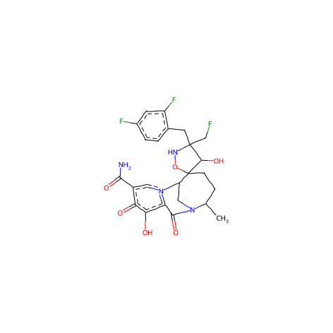 CC1CCC2(ONC(CF)(Cc3ccc(F)cc3F)C2O)C2CN1C(=O)c1c(O)c(=O)c(C(N)=O)cn12